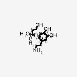 C[N+](C)(C)CCO.NCCc1ccc(O)c(O)c1